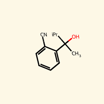 CC(C)C(C)(O)c1ccccc1C#N